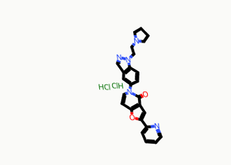 Cl.Cl.O=c1c2cc(-c3ccccn3)oc2ccn1-c1ccc2c(cnn2CCN2CCCC2)c1